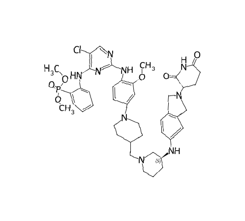 COc1cc(N2CCC(CN3CCC[C@H](Nc4ccc5c(c4)CN(C4CCC(=O)NC4=O)C5)C3)CC2)ccc1Nc1ncc(Cl)c(Nc2ccccc2P(=O)(OC)OC)n1